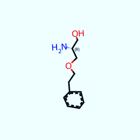 N[C@H](CO)COCCc1ccccc1